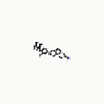 C/C=C\[C@H]1CCc2c(ccc3c2CC[C@H](c2ccc(OC(F)(F)F)c(F)c2)C3)C1